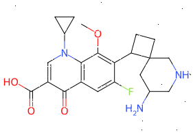 COc1c(C2CCC23CNCC(N)C3)c(F)cc2c(=O)c(C(=O)O)cn(C3CC3)c12